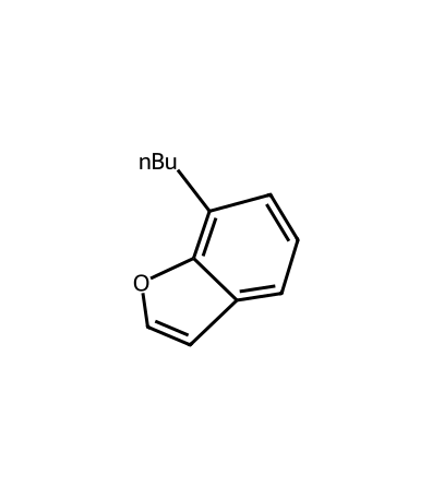 CCCCc1cccc2ccoc12